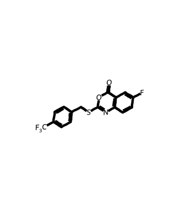 O=c1oc(SCc2ccc(C(F)(F)F)cc2)nc2ccc(F)cc12